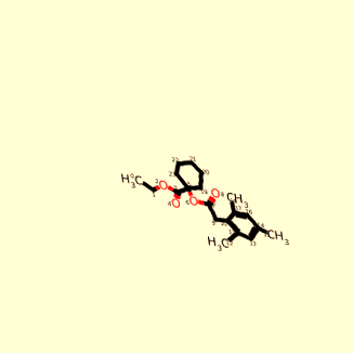 CCOC(=O)C1(OC(=O)Cc2c(C)cc(C)cc2C)CCCCC1